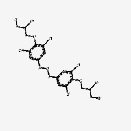 Clc1cc(SOSc2cc(Cl)c(OCC(Br)CBr)c(Cl)c2)cc(Cl)c1OCC(Br)CBr